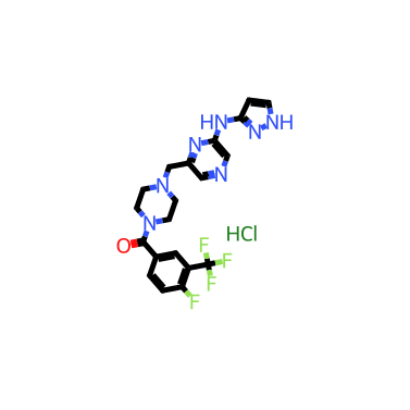 Cl.O=C(c1ccc(F)c(C(F)(F)F)c1)N1CCN(Cc2cncc(Nc3cc[nH]n3)n2)CC1